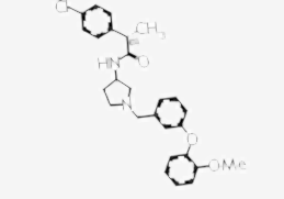 COc1ccccc1Oc1cccc(CN2CCC(NC(=O)[C@@H](C)c3ccc(Cl)cc3)C2)c1